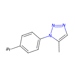 Cc1cnnn1-c1ccc(C(C)C)cc1